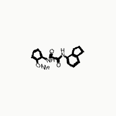 COc1ccccc1NC(=O)C(=O)Nc1cccc2c1CCC2